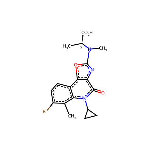 Cc1c(Br)ccc2c3oc(N(C)[C@@H](C)C(=O)O)nc3c(=O)n(C3CC3)c12